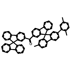 Cc1ccc(C)c(-c2ccc3c(c2)C2(c4ccccc4-c4ccc(C(=O)c5ccc6c(c5)C5(c7ccccc7-c7ccccc75)c5ccccc5-6)cc42)c2cc(C)ccc2-3)c1